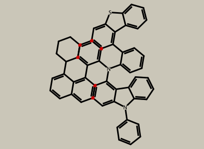 c1ccc(-n2c3ccccc3c3c(N(c4ccccc4-c4cccc5cccc(C6CCCCC6)c45)c4ccccc4-c4cccc5sc6ccccc6c45)cccc32)cc1